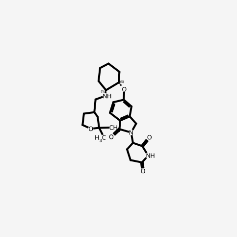 CC1(C)CC(CN[C@H]2CCCC[C@@H]2Oc2ccc3c(c2)CN(C2CCC(=O)NC2=O)C3=O)CCO1